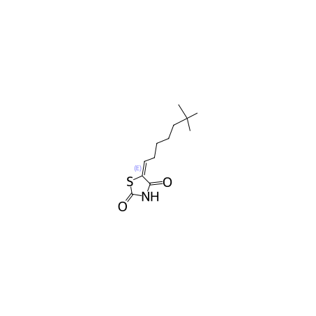 CC(C)(C)CCCC/C=C1/SC(=O)NC1=O